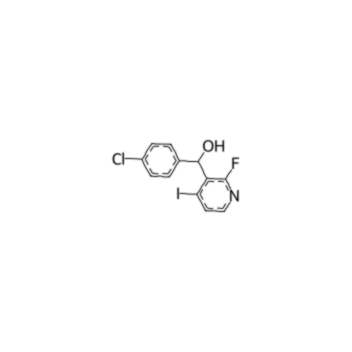 OC(c1ccc(Cl)cc1)c1c(I)ccnc1F